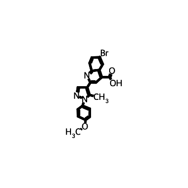 COc1ccc(-n2ncc(-c3cc(C(=O)O)c4cc(Br)ccc4n3)c2C)cc1